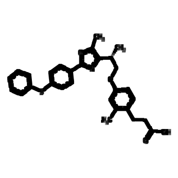 Cc1cc(OC[C@@H](C)c2nc(-c3ccc(Sc4ccccc4)cc3)oc2C)ccc1CCC(=O)O